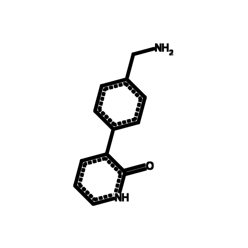 NCc1ccc(-c2ccc[nH]c2=O)cc1